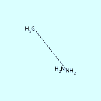 CCCCCCCCCCCCCCCCCCCCCCCCCCCCCCCCCCC(N)CCN